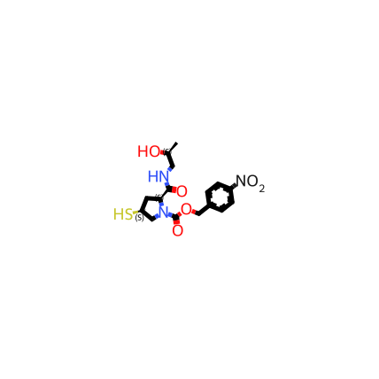 C[C@H](O)CNC(=O)[C@@H]1C[C@H](S)CN1C(=O)OCc1ccc([N+](=O)[O-])cc1